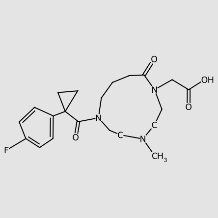 CN1CCN(CC(=O)O)C(=O)CCCN(C(=O)C2(c3ccc(F)cc3)CC2)CC1